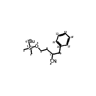 CC(C)(C)[Si](C)(C)OCCC(C#N)Cc1ccccc1